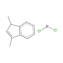 C[C]1C=C(C)c2ccccc21.[Cl][Zr][Cl]